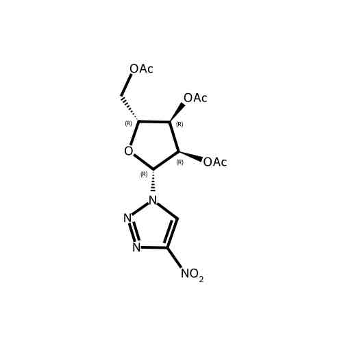 CC(=O)OC[C@H]1O[C@@H](n2cc([N+](=O)[O-])nn2)[C@H](OC(C)=O)[C@@H]1OC(C)=O